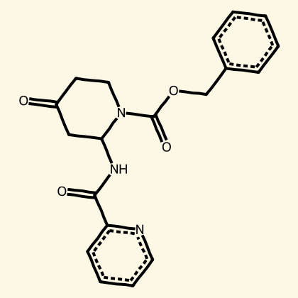 O=C1CCN(C(=O)OCc2ccccc2)C(NC(=O)c2ccccn2)C1